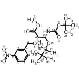 COC(=O)[C@@H](OCc1cccc([N+](=O)[O-])c1)[C@H](NC(=O)OC(C)(C)C)O[Si](C)(C)C(C)(C)C